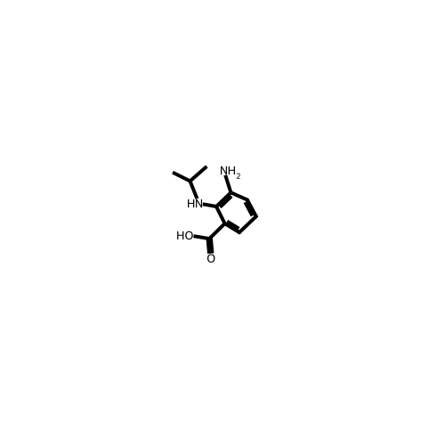 CC(C)Nc1c(N)cccc1C(=O)O